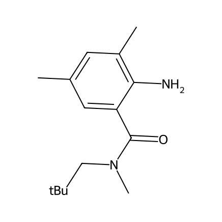 Cc1cc(C)c(N)c(C(=O)N(C)CC(C)(C)C)c1